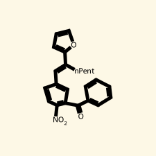 CCCCCC(=Cc1ccc([N+](=O)[O-])c(C(=O)c2ccccc2)c1)c1ccco1